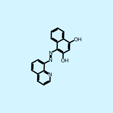 Oc1cc(O)c2ccccc2c1/N=N/c1cccc2cccnc12